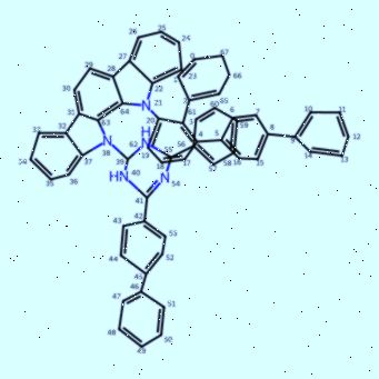 C1=CC(c2c(-c3ccc(-c4ccccc4)cc3)cccc2-n2c3ccccc3c3ccc4c5ccccc5n(C5NC(c6ccc(-c7ccccc7)cc6)=NC(c6ccccc6)N5)c4c32)=CCC1